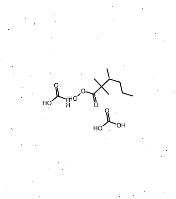 CCCC(C)C(C)(C)C(=O)OO.O=C(O)O.O=C(O)O